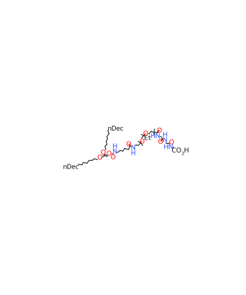 CCCCCCCCCCCCCCCCCCOC[C@H](COC(=O)NCCCCCC(=O)NCCC(C)(C)OCC(C)(CC)OCCC(C)(C)C(=O)NCC(=O)NCC(=O)NCC(=O)O)OCCCCCCCCCCCCCCCCCC